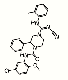 COc1ccc(Cl)cc1NC(=O)N1CCN(/C(=N\C#N)Nc2ccccc2C)CC1c1ccccc1